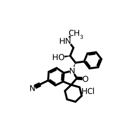 CNC[C@H](O)[C@H](c1ccccc1)N1C(=O)C2(CCCCC2)c2cc(C#N)ccc21.Cl